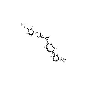 Nc1ncc(CNC2CC2c2ccc(-c3cccc(O)c3)nc2)s1